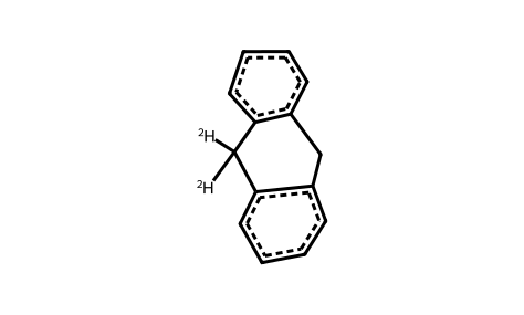 [2H]C1([2H])c2ccccc2Cc2ccccc21